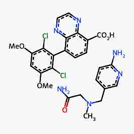 CN(CC(N)=O)Cc1ccc(N)nc1.COc1cc(OC)c(Cl)c(-c2ccc(C(=O)O)c3nccnc23)c1Cl